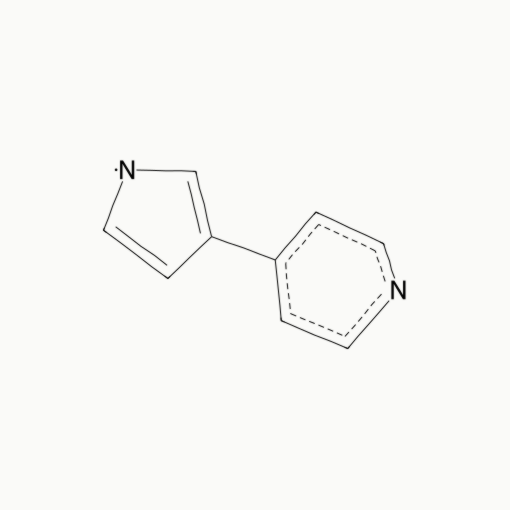 C1=CC(c2ccncc2)=C[N]1